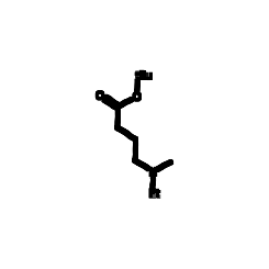 CCN(C)CCCC(=O)OC(C)(C)C